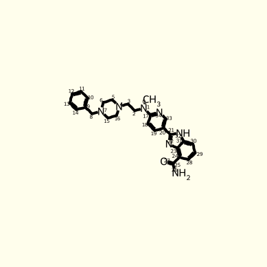 CN(CCN1CCN(Cc2ccccc2)CC1)c1ccc(-c2nc3c(C(N)=O)cccc3[nH]2)cn1